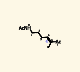 CC(=O)NCCC/C=C(\C)C(C)=O